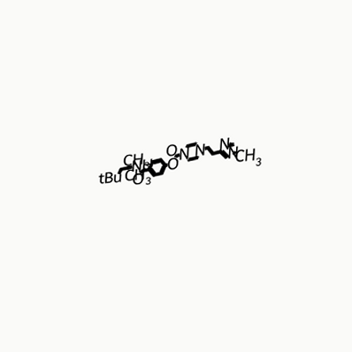 Cn1cnc(CCN2CCN(C(=O)Oc3ccc(C(=O)NC(C)(C)CC(C)(C)C)cc3)CC2)c1